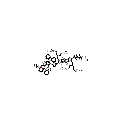 CCCCCCCCCCCCC(CCCCCCCCCCCC)Cc1c(-c2ccc(C3=C4C(=O)[Si](c5ccccc5)(c5ccccc5)C(C(C)(C)CCC)=C4C(=O)[Si]3(c3ccccc3)c3ccccc3)s2)sc2c1sc1c3sc(-c4ccc(C(C)(C)CC)s4)c(CC(CCCCCCCCCCCC)CCCCCCCCCCCC)c3sc21